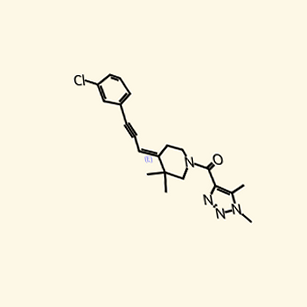 Cc1c(C(=O)N2CC/C(=C\C#Cc3cccc(Cl)c3)C(C)(C)C2)nnn1C